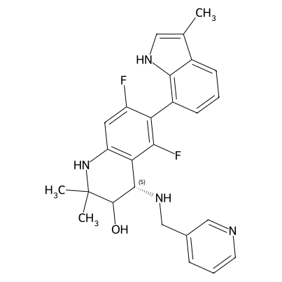 Cc1c[nH]c2c(-c3c(F)cc4c(c3F)[C@H](NCc3cccnc3)C(O)C(C)(C)N4)cccc12